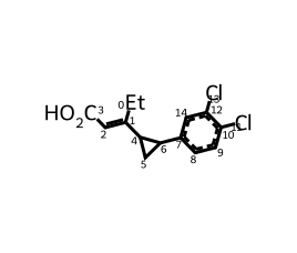 CCC(=CC(=O)O)C1CC1c1ccc(Cl)c(Cl)c1